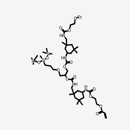 C=CC(=O)OCCOC(=O)NC1CC(C)(C)CC(C)(CNC(=O)OC(COCCC[Si](C)(O[Si](C)(C)C)O[Si](C)(C)C)COC(=O)NC2CC(C)(C)CC(C)(CNC(=O)OCCOCC)C2)C1